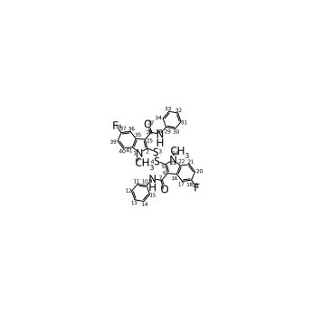 Cn1c(SSc2c(C(=O)Nc3ccccc3)c3cc(F)ccc3n2C)c(C(=O)Nc2ccccc2)c2cc(F)ccc21